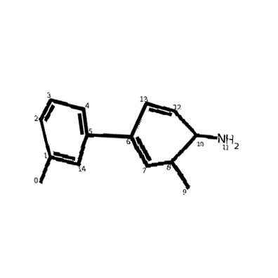 Cc1cccc(C2=CC(C)C(N)C=C2)c1